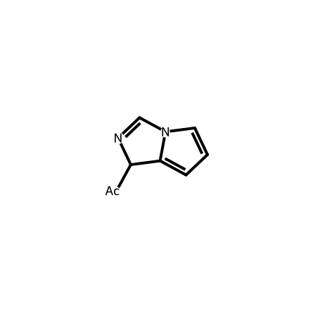 CC(=O)C1N=Cn2cccc21